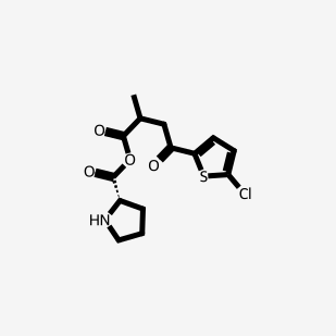 CC(CC(=O)c1ccc(Cl)s1)C(=O)OC(=O)[C@@H]1CCCN1